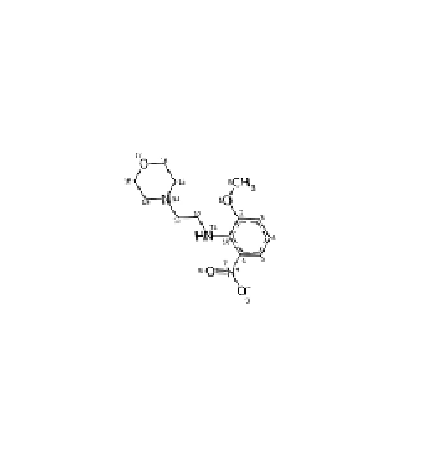 COc1cccc([N+](=O)[O-])c1NCCN1CCOCC1